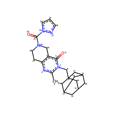 Cc1nc2c(c(=O)n1CC13CC4CC(CC(C4)C1)C3)CN(C(=O)n1cccn1)CC2